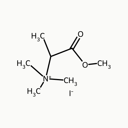 COC(=O)C(C)[N+](C)(C)C.[I-]